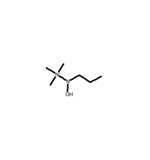 [CH2]CCN(O)[N+](C)(C)C